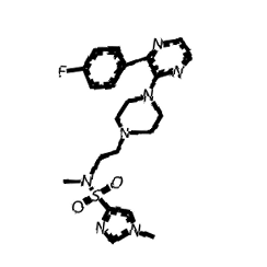 CN(CCN1CCN(c2nccnc2-c2ccc(F)cc2)CC1)S(=O)(=O)c1cn(C)cn1